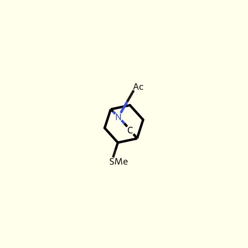 CSC1CC2CCC1CN2C(C)=O